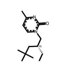 CC[C@@H](Cn1ccc(C)nc1=O)CC(C)(C)C